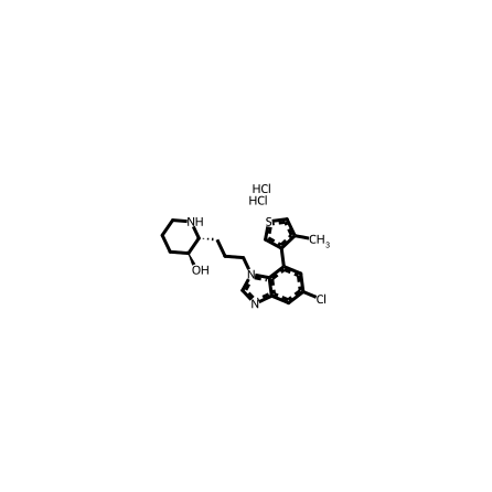 Cc1cscc1-c1cc(Cl)cc2ncn(CCC[C@H]3NCCC[C@@H]3O)c12.Cl.Cl